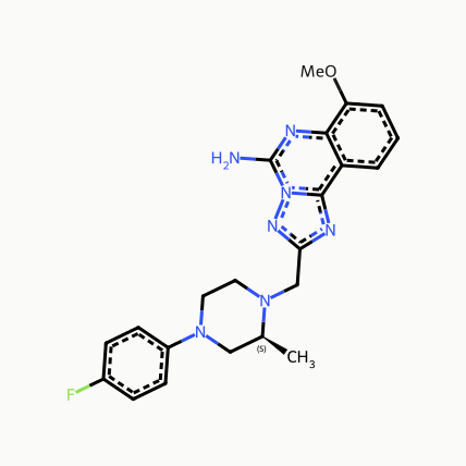 COc1cccc2c1nc(N)n1nc(CN3CCN(c4ccc(F)cc4)C[C@@H]3C)nc21